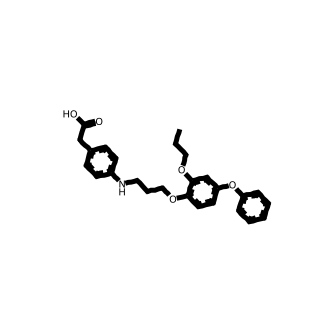 CCCOc1cc(Oc2ccccc2)ccc1OCCCNc1ccc(CC(=O)O)cc1